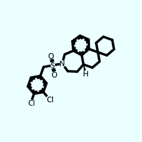 O=S(=O)(Cc1ccc(Cl)c(Cl)c1)N1CC[C@H]2CCC3(CCCCC3)c3cccc(c32)C1